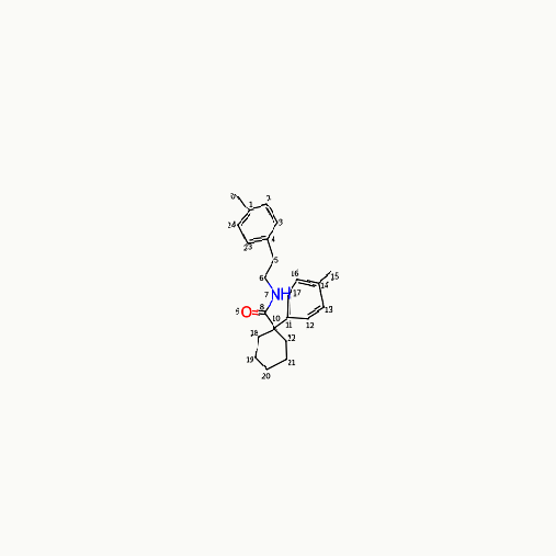 Cc1ccc(CCNC(=O)C2(c3ccc(C)cc3)CCCCC2)cc1